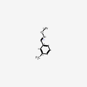 CC(C)O/N=[C]/c1cccc(C(F)(F)F)c1